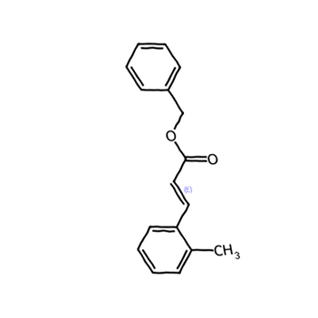 Cc1ccccc1/C=C/C(=O)OCc1ccccc1